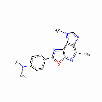 CNc1nc2oc(-c3ccc(N(C)C)cc3)nc2c2c1ncn2C